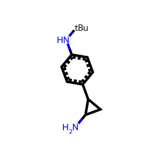 CC(C)(C)Nc1ccc(C2CC2N)cc1